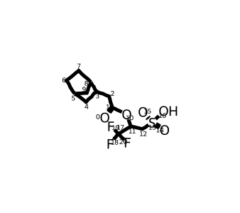 O=C(CC1CC2CCC1C2)OC(CS(=O)(=O)O)C(F)(F)F